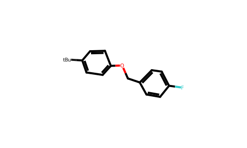 CC(C)(C)c1ccc(OCc2ccc(F)cc2)cc1